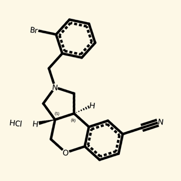 Cl.N#Cc1ccc2c(c1)[C@@H]1CN(Cc3ccccc3Br)C[C@H]1CO2